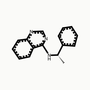 C[C@H](Nc1ncnc2ccccc12)c1ccccc1